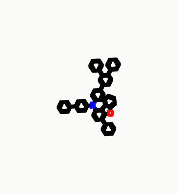 c1ccc(-c2ccc(N(c3ccc(-c4ccc(-c5ccccc5)c(-c5ccccc5)c4)cc3)c3ccc(-c4ccccc4)c4oc5ccccc5c34)cc2)cc1